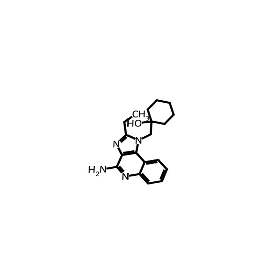 CCc1nc2c(N)nc3ccccc3c2n1CC1(O)CCCCC1